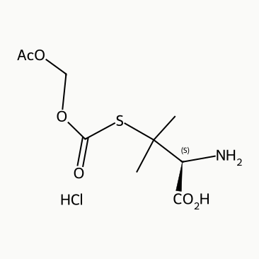 CC(=O)OCOC(=O)SC(C)(C)[C@@H](N)C(=O)O.Cl